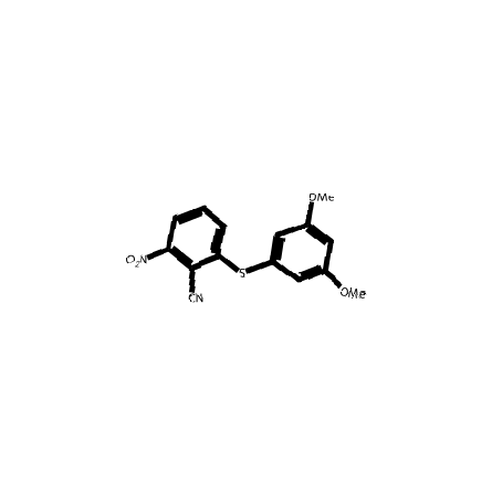 COc1cc(OC)cc(Sc2cccc([N+](=O)[O-])c2C#N)c1